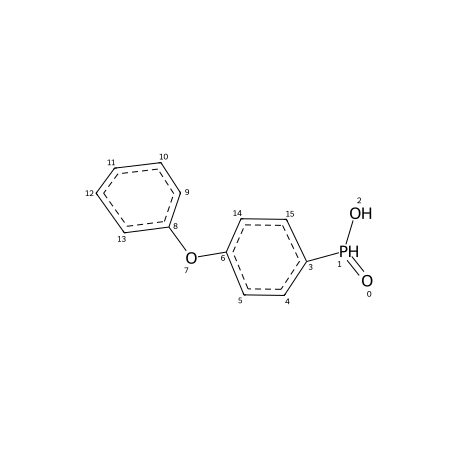 O=[PH](O)c1ccc(Oc2ccccc2)cc1